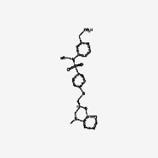 CCCN(c1cccc(CC(=O)O)c1)S(=O)(=O)c1ccc(OC[C@@H]2CN(C)c3ccccc3O2)cc1